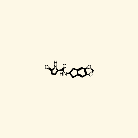 O=C1CCC(C(=O)NC2Cc3cc4c(cc3C2)OCO4)N1